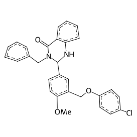 COc1ccc(C2Nc3ccccc3C(=O)N2Cc2ccccc2)cc1COc1ccc(Cl)cc1